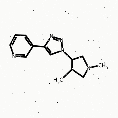 CC1CN(C)CC1n1cc(-c2cccnc2)nn1